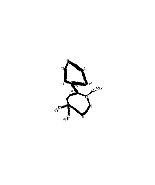 CC(C)(C)N1CCC(F)(F)CC1c1ccccc1